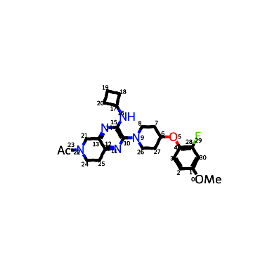 COc1ccc(OC2CCN(c3nc4c(nc3NC3CCC3)CN(C(C)=O)CC4)CC2)c(F)c1